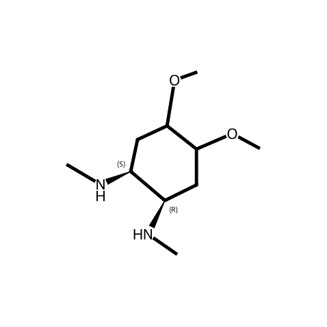 CN[C@H]1CC(OC)C(OC)C[C@H]1NC